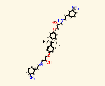 CC(C)(c1ccc(OCC(O)CNCCC2CCCC(N)C2)cc1)c1ccc(OCC(O)CNCCC2CCCC(N)C2)cc1